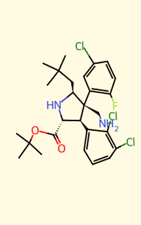 CC(C)(C)C[C@@H]1N[C@@H](C(=O)OC(C)(C)C)[C@H](c2cccc(Cl)c2Cl)[C@@]1(CN)c1cc(Cl)ccc1F